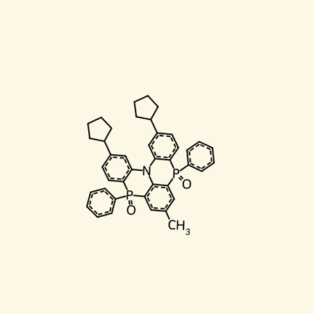 Cc1cc2c3c(c1)P(=O)(c1ccccc1)c1ccc(C4CCCC4)cc1N3c1cc(C3CCCC3)ccc1P2(=O)c1ccccc1